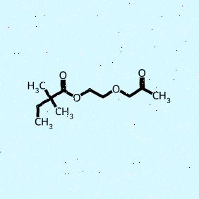 CCC(C)(C)C(=O)OCCOCC(C)=O